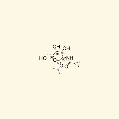 CC(C)O[C@H]1O[C@H](CO)[C@H](O)[C@H](O)[C@H]1NC(=O)C1CC1